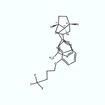 Cc1cc(N2C[C@H]3CC[C@@H](C2)[C@@H]3Nc2nc3c(OCCCC(F)(F)F)cccn3n2)ncn1